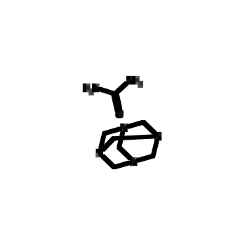 C1N2CN3CN1CN(C2)C3.NC(N)=O